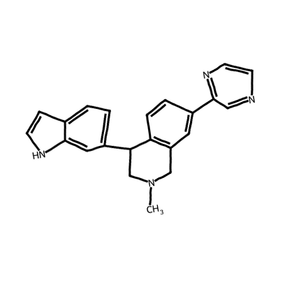 CN1Cc2cc(-c3cnccn3)ccc2C(c2ccc3cc[nH]c3c2)C1